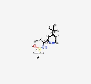 CCC(N[S+]([O-])C(C)(C)C)c1cc(C(C)(C)C)ccn1